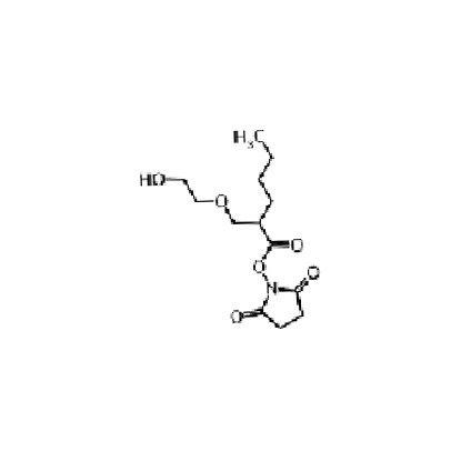 CCCCC(COCCO)C(=O)ON1C(=O)CCC1=O